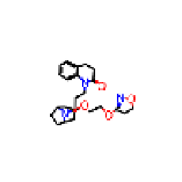 O=C1CCc2ccccc2N1CCCN1C2CCC1CC(OCCOC1=NOCC1)C2